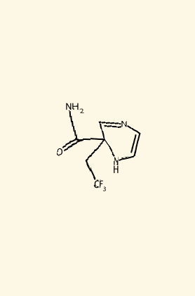 NC(=O)C1(CC(F)(F)F)C=NC=CN1